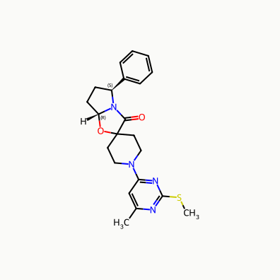 CSc1nc(C)cc(N2CCC3(CC2)O[C@@H]2CC[C@@H](c4ccccc4)N2C3=O)n1